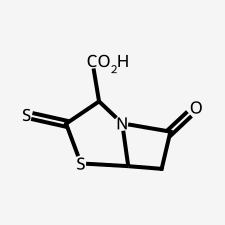 O=C(O)C1C(=S)SC2CC(=O)N21